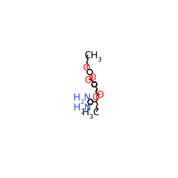 CCCCCOC1CCC(OC(=O)c2ccc(/C=C/C(=O)OCC(CCCC)c3cc(N)cc(N)c3)cc2)CC1